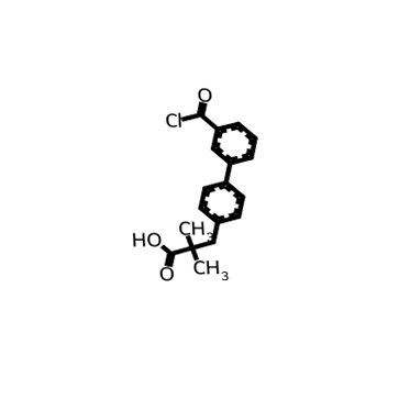 CC(C)(Cc1ccc(-c2cccc(C(=O)Cl)c2)cc1)C(=O)O